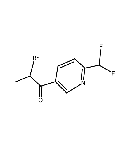 CC(Br)C(=O)c1ccc(C(F)F)nc1